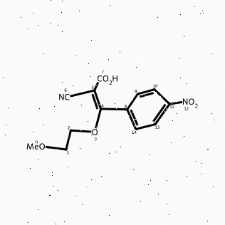 COCCOC(=C(C#N)C(=O)O)c1ccc([N+](=O)[O-])cc1